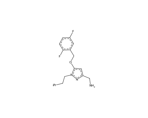 CC(C)CCn1nc(CN)cc1OCc1cc(F)ccc1F